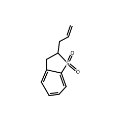 C=CCC1Cc2ccccc2S1(=O)=O